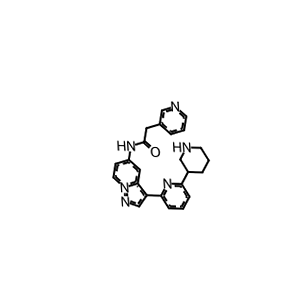 O=C(Cc1cccnc1)Nc1ccn2ncc(-c3cccc(C4CCCNC4)n3)c2c1